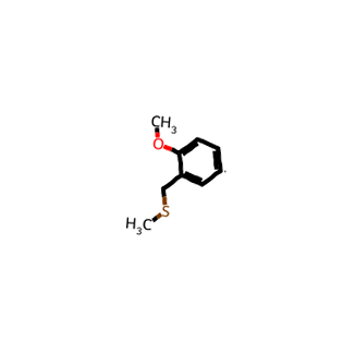 COc1cc[c]cc1CSC